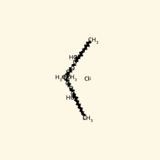 CCCCCCCCCCCCC(O)COCCOCCOCC[N+](C)(C)CCOCCOCCOCC(O)CCCCCCCCCCCC.[Cl-]